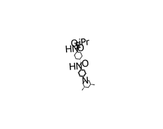 CC(C)S(=O)(=O)N[C@H]1CC[C@H](C(=O)Nc2ccc(N3C[C@H](C)C[C@H](C)C3)cc2)CC1